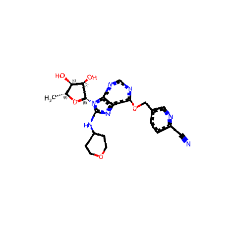 C[C@H]1O[C@@H](n2c(NC3CCOCC3)nc3c(OCc4ccc(C#N)nc4)ncnc32)[C@H](O)[C@@H]1O